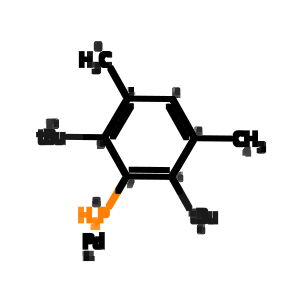 Cc1cc(C)c(C(C)(C)C)c(P)c1C(C)(C)C.[Pd]